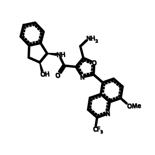 COc1ccc(-c2nc(C(=O)N[C@@H]3c4ccccc4C[C@@H]3O)c(CN)o2)c2ccc(C(F)(F)F)nc12